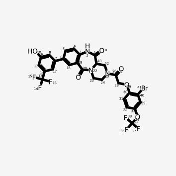 O=C1Nc2ccc(-c3cc(O)cc(C(F)(F)F)c3)cc2C(=O)N2CCN(C(=O)COc3ccc(OC(F)(F)F)cc3Br)CC12